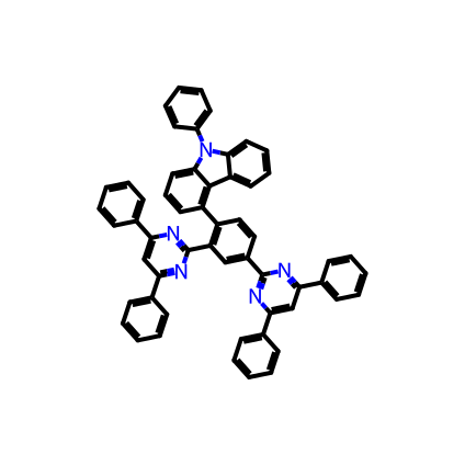 c1ccc(-c2cc(-c3ccccc3)nc(-c3ccc(-c4cccc5c4c4ccccc4n5-c4ccccc4)c(-c4nc(-c5ccccc5)cc(-c5ccccc5)n4)c3)n2)cc1